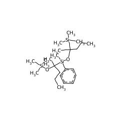 CCCC(C)(O[Si](C)(c1ccccc1)C(C)(CCC)O[Si](C)(C)C)[Si](C)(C)C